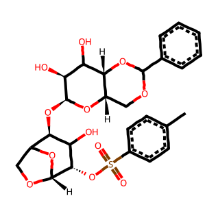 Cc1ccc(S(=O)(=O)O[C@H]2C(O)[C@H](O[C@@H]3O[C@H]4COC(c5ccccc5)O[C@H]4C(O)[C@@H]3O)C3CO[C@@H]2O3)cc1